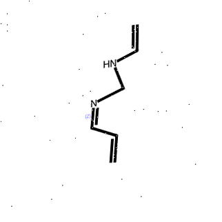 C=C/C=N\CNC=C